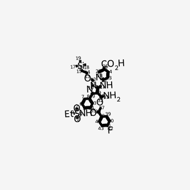 CCS(=O)(=O)Nc1ccc(-c2nn(COCC[Si](C)(C)C)c(Nc3ccc(C(=O)O)cn3)c2C(N)=O)cc1OC(C)c1ccc(F)cc1